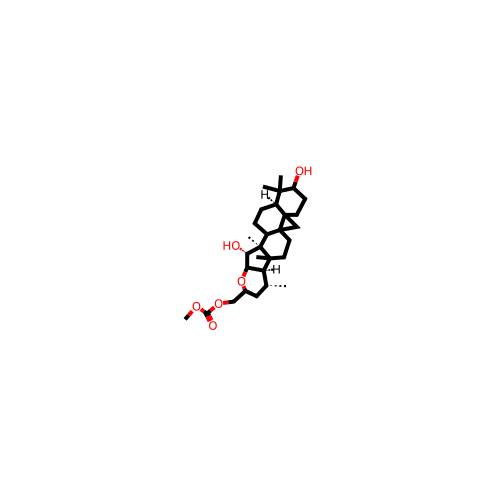 COC(=O)OCC1C[C@@H](C)[C@H]2C(O1)[C@H](O)[C@@]1(C)C3CC[C@H]4C(C)(C)C(O)CCC45CC35CCC21C